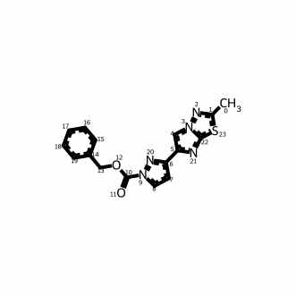 Cc1nn2cc(-c3ccn(C(=O)OCc4ccccc4)n3)nc2s1